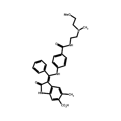 COCCN(C)CCNC(=O)c1ccc(NC(=C2C(=O)Nc3cc(C(=O)O)c(C)cc32)c2ccccc2)cc1